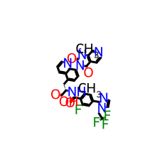 Cc1cc(-c2nccn2CC(F)(F)F)cc(F)c1C(=O)N[C@@H](Cc1ccc(-n2c(=O)c3ccncc3n(C)c2=O)c2ncccc12)C(=O)O